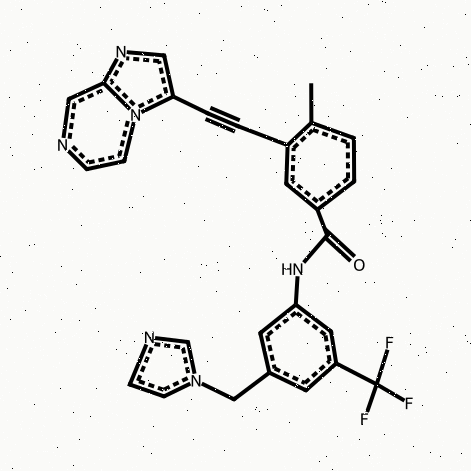 Cc1ccc(C(=O)Nc2cc(Cn3ccnc3)cc(C(F)(F)F)c2)cc1C#Cc1cnc2cnccn12